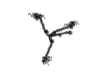 CC(=O)N[C@H]1[C@H]2OC[C@](COCCOCCOCCOCCn3cc(COCC(COCc4cn(CCOCCOCCOCCOC[C@@]56CO[C@@H](O5)[C@H](NC(C)=O)[C@@H](O)[C@H]6O)nn4)(COCc4cn(CCOCCOCCOCCO[C@H](C)[C@@]56CO[C@H](O5)[C@H](NC(C)=O)[C@@H](O)[C@H]6O)nn4)NC(=O)CCCCCNC(=O)CCCCCOCc4ccccc4)nn3)(O2)[C@H](O)[C@@H]1O